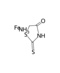 N.O=C1CSC(=S)N1.[Fe]